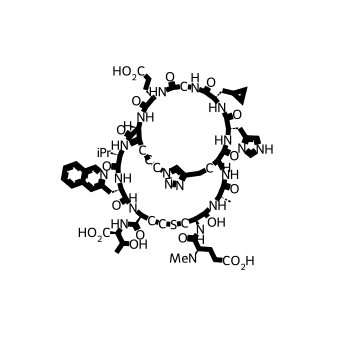 C=C1CCCn2cc(nn2)CC[C@@H]2NC(=O)[C@H](C)NC(O)[C@@H](NC(=O)[C@H](CCC(=O)O)NC)CSCC[C@@H](C(=O)N[C@H](C(=O)O)C(C)O)NC(=O)[C@H](Cc3cc4ccccc4cn3)NC(=O)[C@H](C(C)C)NC(=O)[C@H]1NC(=O)[C@H](CCC(=O)O)NC(=O)CNC(=O)[C@H](CC1CC1)NC(=O)[C@H](Cc1c[nH]cn1)NC2=O